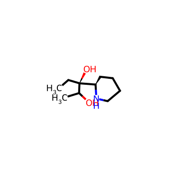 CC[C@@](O)(C(C)O)[C@H]1CCCCN1